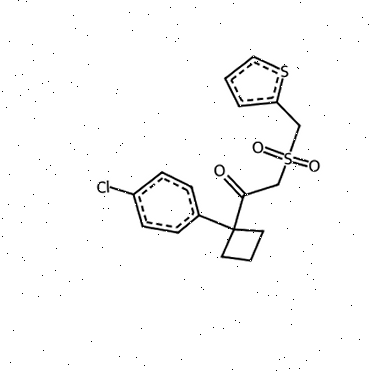 O=C(CS(=O)(=O)Cc1cccs1)C1(c2ccc(Cl)cc2)CCC1